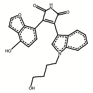 O=C1NC(=O)C(c2ccc(O)c3ccoc23)=C1c1cn(CCCCO)c2ccccc12